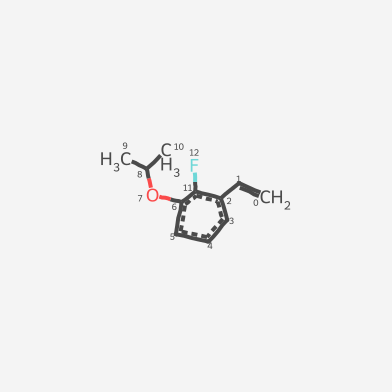 C=Cc1cccc(OC(C)C)c1F